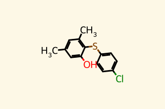 Cc1cc(C)c(Sc2ccc(Cl)cc2)c(O)c1